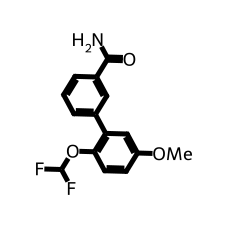 COc1ccc(OC(F)F)c(-c2cccc(C(N)=O)c2)c1